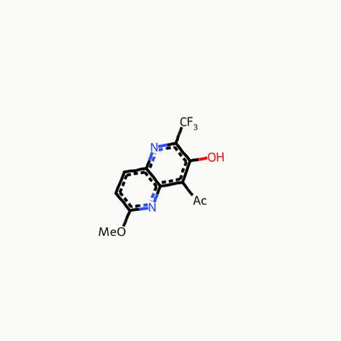 COc1ccc2nc(C(F)(F)F)c(O)c(C(C)=O)c2n1